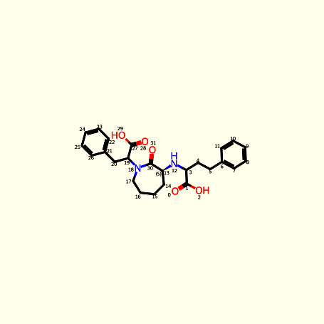 O=C(O)C(CCc1ccccc1)N[C@H]1CCCCN(C(Cc2ccccc2)C(=O)O)C1=O